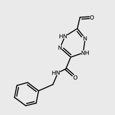 O=CC1=NNC(C(=O)NCc2ccccc2)=NN1